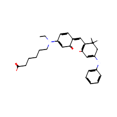 CCN(CCCCCC(=O)O)c1ccc2cc3c([o+]c2c1)C=C(Nc1ccccc1)CC3(C)C